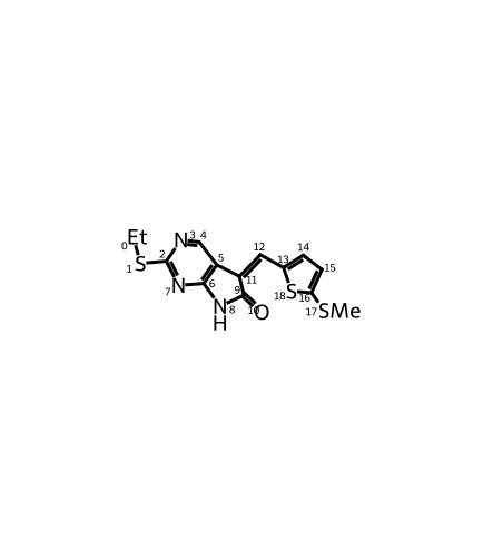 CCSc1ncc2c(n1)NC(=O)C2=Cc1ccc(SC)s1